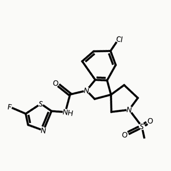 CS(=O)(=O)N1CCC2(CN(C(=O)Nc3ncc(F)s3)c3ccc(Cl)cc32)C1